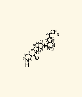 O=C(C1CCCNC1)N1CCC2(CCN(c3ncnc4sc(CC(F)(F)F)cc34)C2)C1